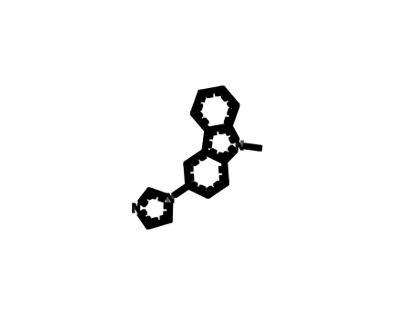 Cn1c2ccccc2c2cc(-n3ccnc3)ccc21